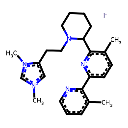 Cc1cccnc1-c1ccc(C)c(C2CCCCN2CCc2c[n+](C)cn2C)n1.[I-]